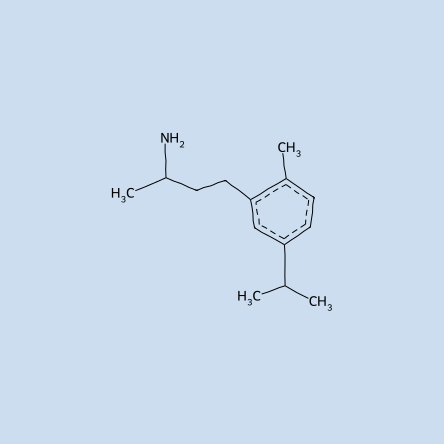 Cc1ccc(C(C)C)cc1CCC(C)N